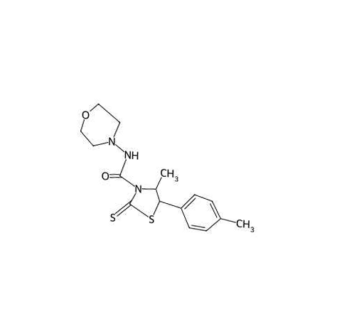 Cc1ccc(C2SC(=S)N(C(=O)NN3CCOCC3)C2C)cc1